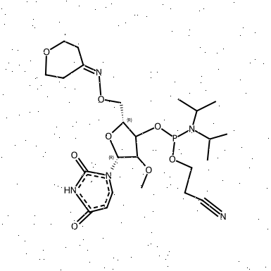 COC1C(OP(OCCC#N)N(C(C)C)C(C)C)[C@@H](CON=C2CCOCC2)O[C@H]1n1ccc(=O)[nH]c1=O